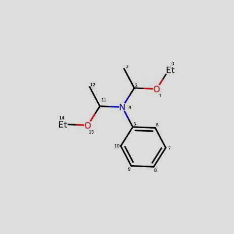 CCOC(C)N(c1ccccc1)C(C)OCC